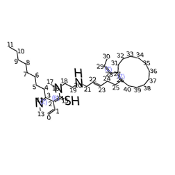 C=CC(/C(CCCCCCCC)=N\C)=C(\S)N(C)CCNCC=CCC/C1=C(\C=C/C)CCCCCCCCCC1